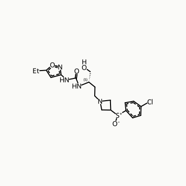 CCc1cc(NC(=O)N[C@H](CO)CCN2CC([S+]([O-])c3ccc(Cl)cc3)C2)no1